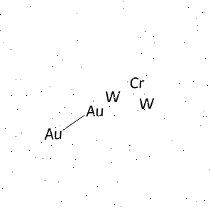 [Au][Au].[Cr].[W].[W]